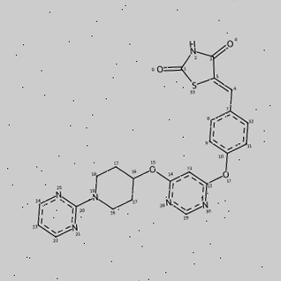 O=C1NC(=O)/C(=C/c2ccc(Oc3cc(OC4CCN(c5ncccn5)CC4)ncn3)cc2)S1